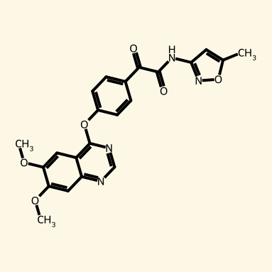 COc1cc2ncnc(Oc3ccc(C(=O)C(=O)Nc4cc(C)on4)cc3)c2cc1OC